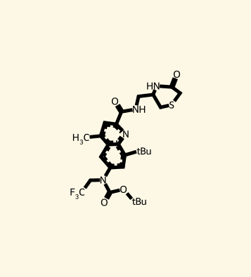 Cc1cc(C(=O)NCC2CSCC(=O)N2)nc2c(C(C)(C)C)cc(N(CC(F)(F)F)C(=O)OC(C)(C)C)cc12